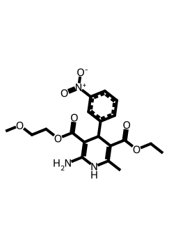 CCOC(=O)C1=C(C)NC(N)=C(C(=O)OCCOC)C1c1cccc([N+](=O)[O-])c1